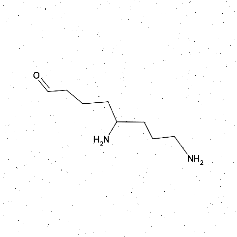 NCCCC(N)CCCC=O